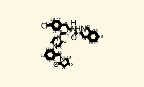 O=C(N[C@H](CCN1CCN(c2ccccc2CN2CCCC2=O)CC1)Cc1ccc(Cl)cc1)[C@H]1Cc2ccccc2CN1